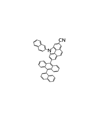 N#Cc1cc2ccc3cc(-c4c5ccccc5c(-c5cccc6ccccc56)c5ccccc45)cc4c3c2c(c1)n4-c1ccc2ccccc2c1